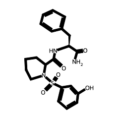 NC(=O)[C@H](Cc1ccccc1)NC(=O)C1CCCCN1S(=O)(=O)c1cccc(O)c1